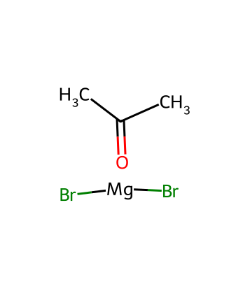 CC(C)=O.[Br][Mg][Br]